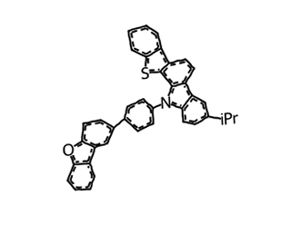 CC(C)c1ccc2c(c1)c1ccc3c4ccccc4sc3c1n2-c1ccc(-c2ccc3oc4ccccc4c3c2)cc1